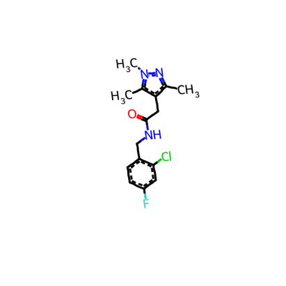 Cc1nn(C)c(C)c1CC(=O)NCc1ccc(F)cc1Cl